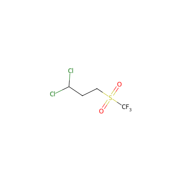 O=S(=O)(CCC(Cl)Cl)C(F)(F)F